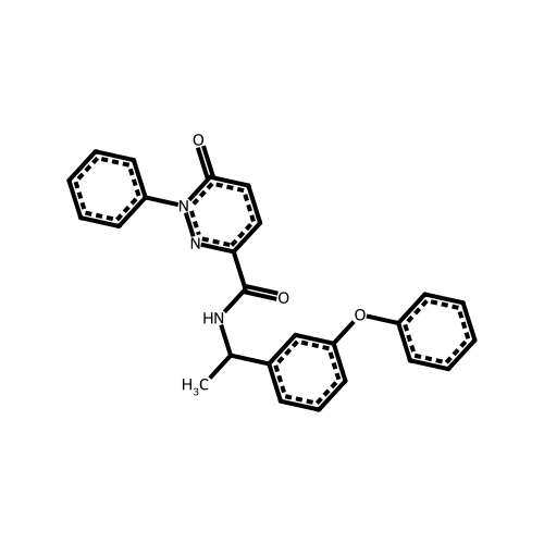 CC(NC(=O)c1ccc(=O)n(-c2ccccc2)n1)c1cccc(Oc2ccccc2)c1